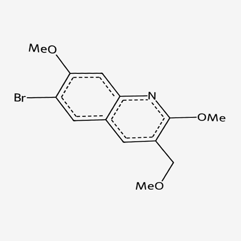 COCc1cc2cc(Br)c(OC)cc2nc1OC